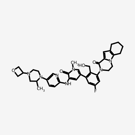 CC1CN(C2COC2)CCN1c1ccc(Nc2cc(-c3cc(F)cc(N4CCn5c(cc6c5CCCC6)C4=O)c3CO)cn(C)c2=O)nc1